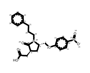 O=C(O)C[C@@H]1C[C@@H](COc2ccc([N+](=O)[O-])cc2)N(CCCc2ccccc2)C1=O